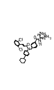 N=N/C(=N\N)NC(=O)c1ccc(CN(C(=O)/C=C/c2c(Cl)cccc2Cl)c2ccc(C3CCCCC3)cc2)cc1